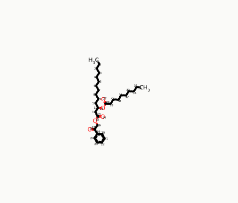 CCCCCCCCCCCC(CC(=O)OCC(=O)c1ccccc1)OC(=O)CCCCCCCCC